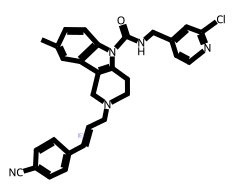 Cc1ccc2c(c1)c1c(n2C(=O)NCc2ccnc(Cl)c2)CCN(C/C=C/c2ccc(C#N)cc2)C1